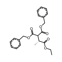 CCOC(=O)[C@H](C)C(C(=O)OCc1ccccc1)C(=O)OCc1ccccc1